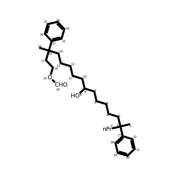 CCCC(C)(CCCCCC(O)CCCCCC(C)(CCOC=O)c1ccccc1)c1ccccc1